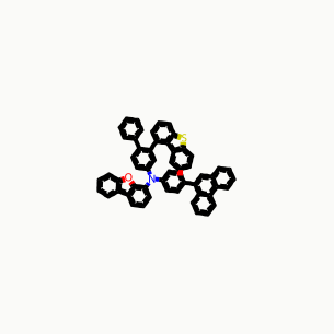 c1ccc(-c2ccc(N(c3ccc(-c4cc5ccccc5c5ccccc45)cc3)c3cccc4c3oc3ccccc34)cc2-c2cccc3sc4ccccc4c23)cc1